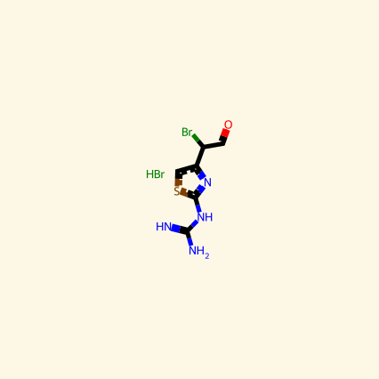 Br.N=C(N)Nc1nc(C(Br)C=O)cs1